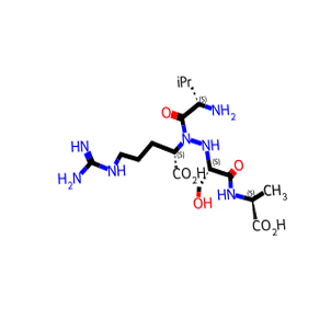 CC(C)[C@H](N)C(=O)N(N[C@@H](CO)C(=O)N[C@@H](C)C(=O)O)[C@@H](CCCNC(=N)N)C(=O)O